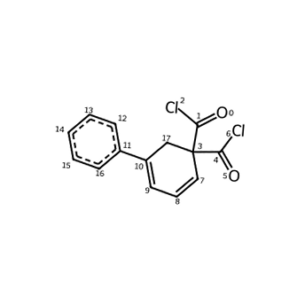 O=C(Cl)C1(C(=O)Cl)C=CC=C(c2ccccc2)C1